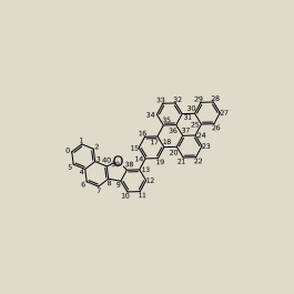 c1ccc2c(c1)ccc1c3cccc(-c4ccc5c(c4)c4cccc6c7ccccc7c7cccc5c7c64)c3oc21